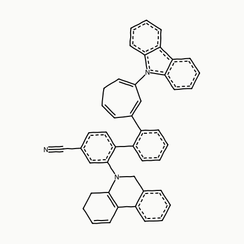 N#Cc1ccc(-c2ccccc2C2=CC(n3c4ccccc4c4ccccc43)=CCC=C2)c(N2Cc3ccccc3C3=C2CCC=C3)c1